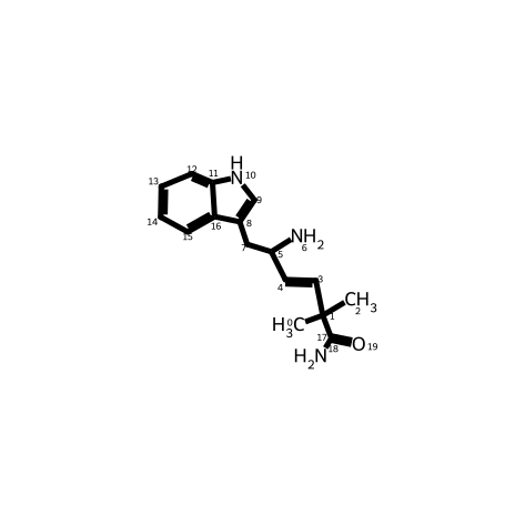 CC(C)(C=CC(N)Cc1c[nH]c2ccccc12)C(N)=O